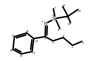 CCCCC(=N[Si](C)(C)C(C)(C)C)c1ccccc1